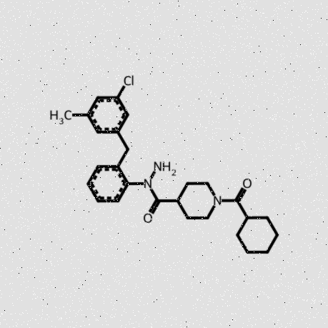 Cc1cc(Cl)cc(Cc2ccccc2N(N)C(=O)C2CCN(C(=O)C3CCCCC3)CC2)c1